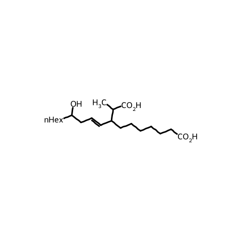 CCCCCCC(O)CC=CC(CCCCCCC(=O)O)C(C)C(=O)O